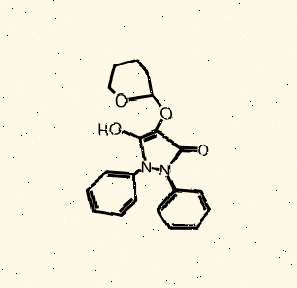 O=c1c(OC2CCCCO2)c(O)n(-c2ccccc2)n1-c1ccccc1